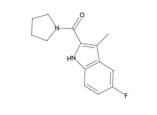 Cc1c(C(=O)N2CCCC2)[nH]c2ccc(F)cc12